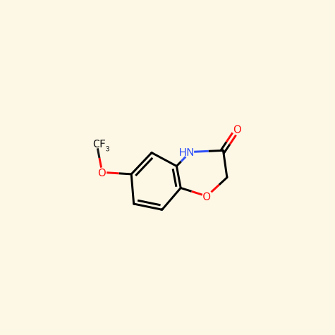 O=C1COc2ccc(OC(F)(F)F)cc2N1